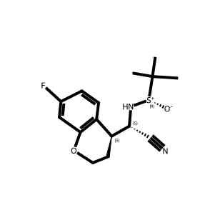 CC(C)(C)[S@+]([O-])N[C@H](C#N)[C@H]1CCOc2cc(F)ccc21